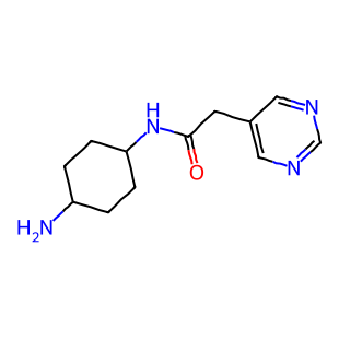 NC1CCC(NC(=O)Cc2cncnc2)CC1